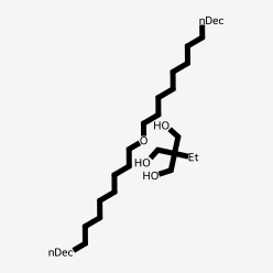 CCC(CO)(CO)CO.CCCCCCCCCCCCCCCCCCOCCCCCCCCCCCCCCCCCC